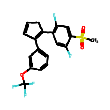 CS(=O)(=O)c1cc(F)c(C2=C(c3cccc(OC(F)(F)F)c3)C=CC2)cc1F